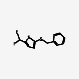 FC(F)c1ccc(SCc2ccccc2)s1